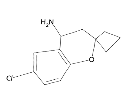 NC1CC2(CCC2)Oc2ccc(Cl)cc21